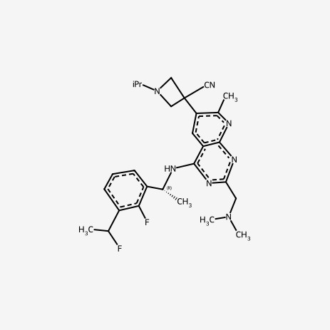 Cc1nc2nc(CN(C)C)nc(N[C@H](C)c3cccc(C(C)F)c3F)c2cc1C1(C#N)CN(C(C)C)C1